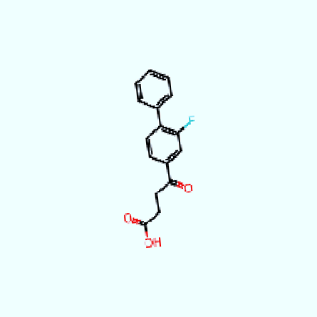 O=C(O)CCC(=O)c1ccc(-c2ccccc2)c(F)c1